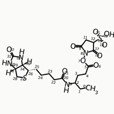 CCC(CCC(=O)ON1C(=O)CC(S(=O)(=O)O)C1=O)NC(=O)CCCC[C@@H]1SC[C@@H]2NC(=O)N[C@@H]21